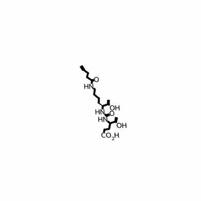 C#CCCC(=O)NCCCC[C@H](NC(=O)NC(CCC(=O)O)C(=C)O)C(=C)O